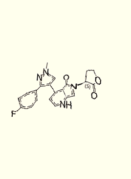 Cn1cc(-c2cc[nH]c3cn([C@H]4CCOC4=O)c(=O)c2-3)c(-c2ccc(F)cc2)n1